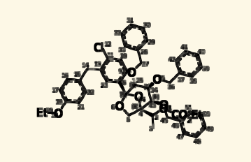 CCOC(=O)OC(C)[C@@]12CO[C@@](c3ccc(Cl)c(Cc4ccc(OCC)cc4)c3)(O1)[C@H](OCc1ccccc1)[C@@H](OCc1ccccc1)[C@H]2OCc1ccccc1